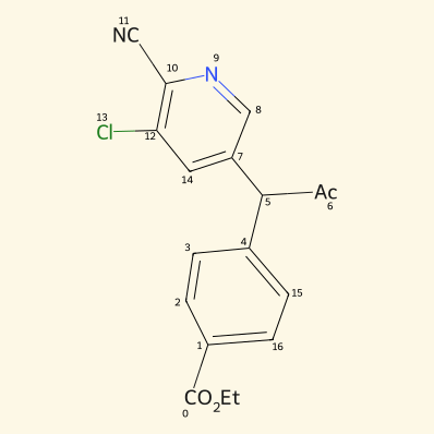 CCOC(=O)c1ccc(C(C(C)=O)c2cnc(C#N)c(Cl)c2)cc1